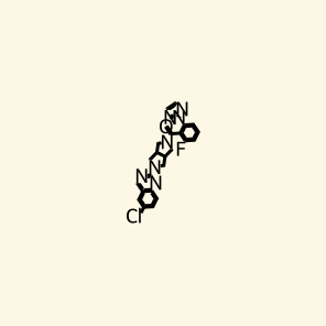 O=C(c1c(F)cccc1-n1nccn1)N1CC2CN(c3ncc4cc(Cl)ccc4n3)CC2C1